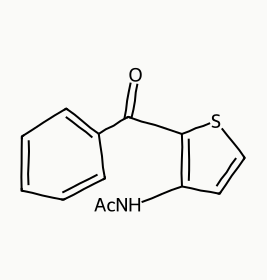 CC(=O)Nc1ccsc1C(=O)c1ccccc1